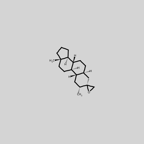 C[C@@H]1C[C@H]2[C@@H](CC[C@@H]3[C@@H]2CC[C@]2(C)CCC[C@@H]32)C[C@@]12CO2